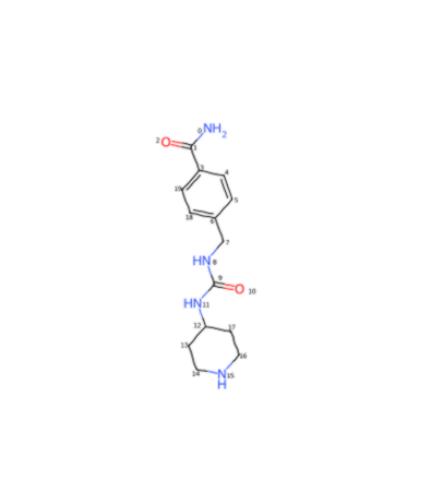 NC(=O)c1ccc(CNC(=O)NC2CCNCC2)cc1